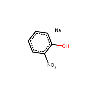 O=[N+]([O-])c1ccccc1O.[Na]